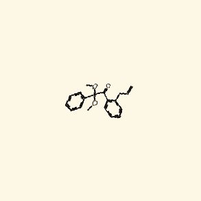 C=CCc1ccccc1C(=O)C(OC)(OC)c1ccccc1